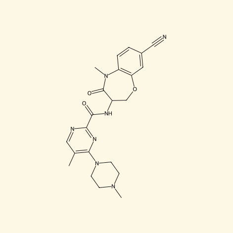 Cc1cnc(C(=O)NC2COc3cc(C#N)ccc3N(C)C2=O)nc1N1CCN(C)CC1